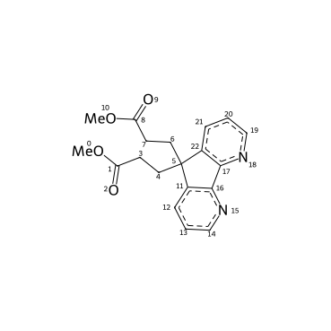 COC(=O)CCC1(CCC(=O)OC)c2cccnc2-c2ncccc21